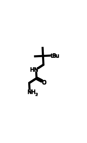 CC(C)(C)C(C)(C)CNC(=O)CN